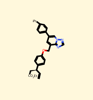 C=C[C@@H](CC(=O)OCC)c1ccc(OCc2cc(-c3ccc(C(C)C)cc3)cn3ncnc23)cc1